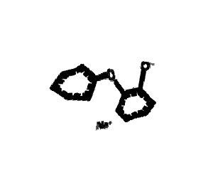 [Na+].[O-]c1ccccc1Oc1ccccc1